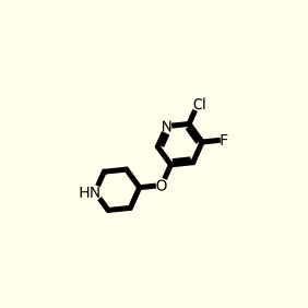 Fc1cc(OC2CCNCC2)cnc1Cl